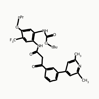 CCCOc1cc(NC(=O)OC(C)(C)C)c(NC(=O)CC(=O)c2cccc(-c3cc(C)nc(C)c3)c2)cc1C(F)(F)F